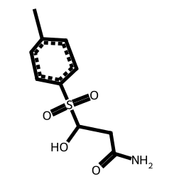 Cc1ccc(S(=O)(=O)C(O)CC(N)=O)cc1